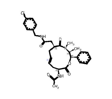 CC(=O)N[C@H]1C/C=C/C[C@@H](CC(=O)NCc2ccc(Cl)cc2)C(=O)N(C)[C@@H](C)[C@@H](c2ccccc2)OC1=O